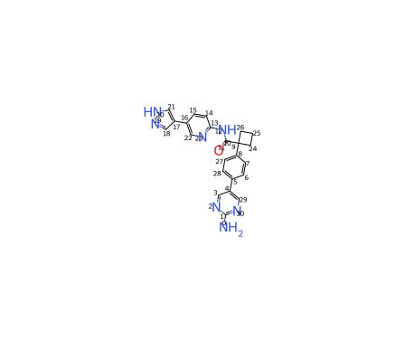 Nc1ncc(-c2ccc(C3(C(=O)Nc4ccc(-c5cn[nH]c5)cn4)CCC3)cc2)cn1